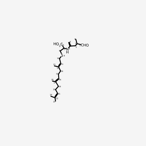 C=C(CC(C)C=O)NC(CSC/C=C(\C)CC/C=C(\C)CCC=C(C)C)C(=O)O